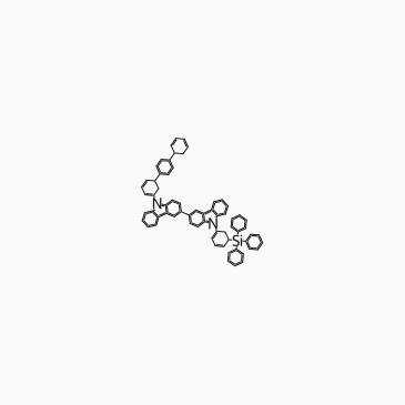 C1=CCC(c2ccc(C3C=CC=C(n4c5ccccc5c5cc(-c6ccc7c(c6)c6ccccc6n7C6=CC=CC([Si](c7ccccc7)(c7ccccc7)c7ccccc7)C6)ccc54)C3)cc2)C=C1